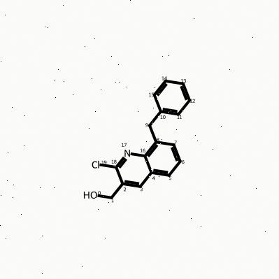 OCc1cc2cccc(Cc3ccccc3)c2nc1Cl